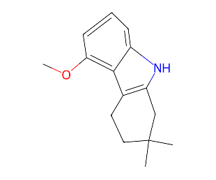 COc1cccc2[nH]c3c(c12)CCC(C)(C)C3